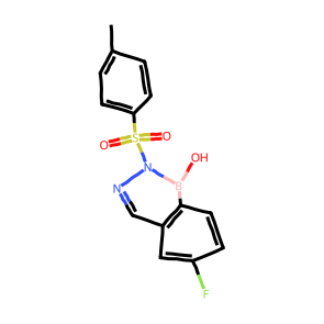 Cc1ccc(S(=O)(=O)N2N=Cc3cc(F)ccc3B2O)cc1